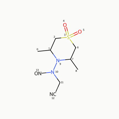 CC1CS(=O)(=O)CC(C)N1N(CC#N)N=O